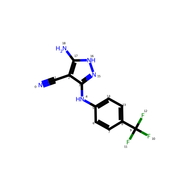 N#Cc1c(Nc2ccc(C(F)(F)F)cc2)n[nH]c1N